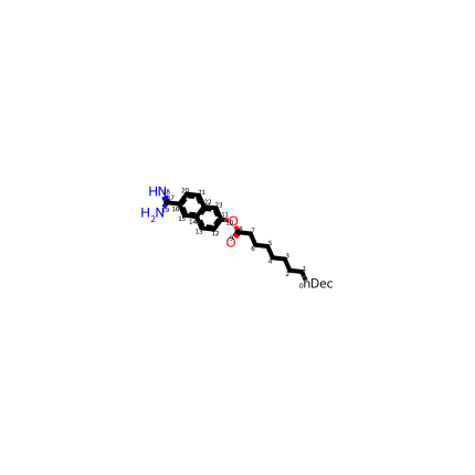 CCCCCCCCCCCCCCCCCC(=O)Oc1ccc2cc(C(=N)N)ccc2c1